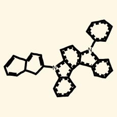 C1=CC2=CC=C(n3c4ccccc4c4c5c6ccccc6n(-c6ccccc6)c5ccc43)CC2C=C1